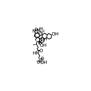 C[C@H](CCC(=O)NCCS(=O)(=O)O)[C@H]1CCC2C3C(C[C@H](O)[C@@]21C)[C@@]1(C)CC[C@@H](O)CC1CC3(N)c1c([N+](=O)[O-])ccc2nonc12